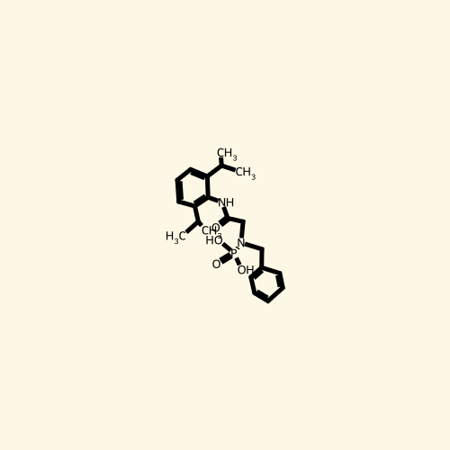 CC(C)c1cccc(C(C)C)c1NC(=O)CN(Cc1ccccc1)P(=O)(O)O